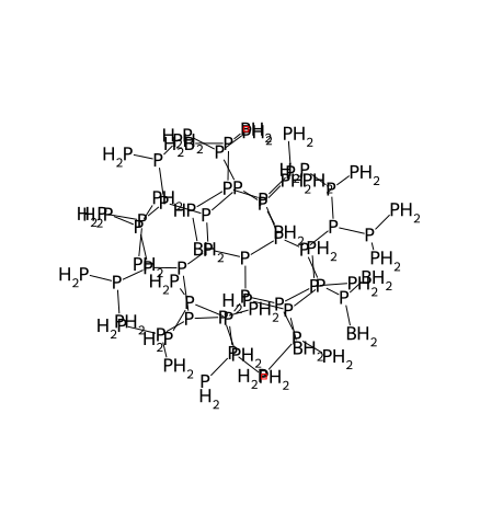 BPP(P(B)B)P(P(P)P)P(P(P(P(B)B)P(B)P)P(P(P)P)P(P)P)P(P(P(P(P)P)P(P)P)P(P(P)P)P(P)P)P(P(P(P(P)P)P(P)P)P(P(P)P)P(P)P)P(P(P(P)P)P(P)P)P(P(P)P)P(P)P